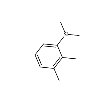 Cc1cccc([Si](C)C)c1C